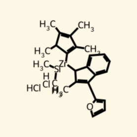 CC1=C(C)C(C)[C]([Zr]([CH]2C(C)=C(c3ccco3)c3ccccc32)=[Si](C)C)=C1C.Cl.Cl